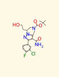 CC(C)(C)OC(=O)N1Cc2c(C(N)=O)c(-c3ccc(F)c(Cl)c3)nn2C(CCO)C1